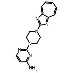 Nc1ccnc(N2CCN(c3nc4cccccc-4n3)CC2)n1